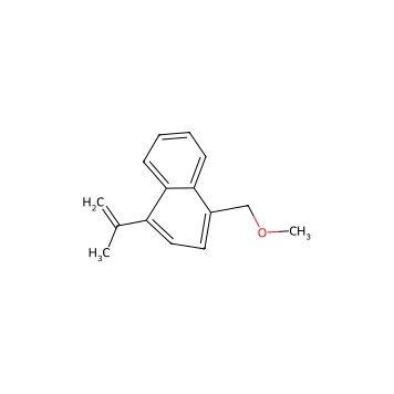 C=C(C)c1ccc(COC)c2ccccc12